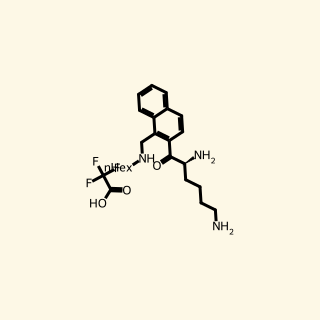 CCCCCCNCc1c(C(=O)[C@@H](N)CCCCN)ccc2ccccc12.O=C(O)C(F)(F)F